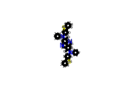 Cc1c(N(c2ccccc2)c2ccc3c(c2)sc2ccccc23)cc2cnc3c(C)c(N(c4ccccc4)c4ccc5c(c4)sc4ccccc45)cc4ncc1c2c43